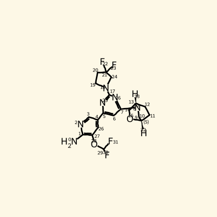 Nc1ncc(-c2cc(N3C[C@@H]4CC[C@H]3CO4)nc(N3CCC(F)(F)C3)n2)cc1OC(F)F